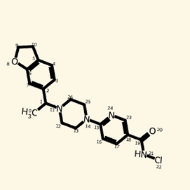 CC(c1ccc2c(c1)OCC2)N1CCN(c2ccc(C(=O)NCl)cn2)CC1